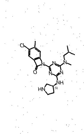 Cc1cc2c(cc1Cl)C(=O)N2c1nc(N[C@H]2CCNC2)nc(N(C)CC(C)C)n1